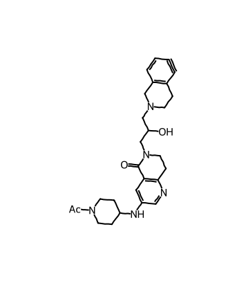 CC(=O)N1CCC(Nc2cnc3c(c2)C(=O)N(CC(O)CN2CCc4c#cccc4C2)CC3)CC1